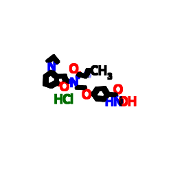 C/C=C/C(=O)N(CCOc1ccc(C(=O)NO)cc1)c1cc2c(N3CCC3)cccc2o1.Cl